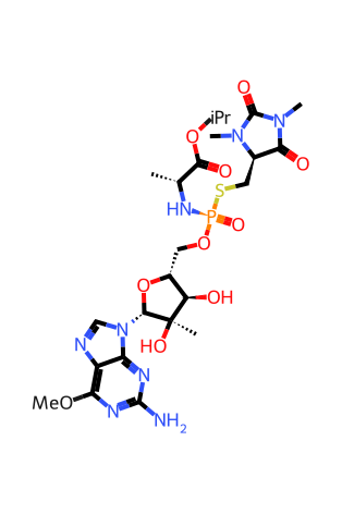 COc1nc(N)nc2c1ncn2[C@@H]1O[C@H](CO[P@](=O)(N[C@H](C)C(=O)OC(C)C)SC[C@@H]2C(=O)N(C)C(=O)N2C)[C@@H](O)[C@@]1(C)O